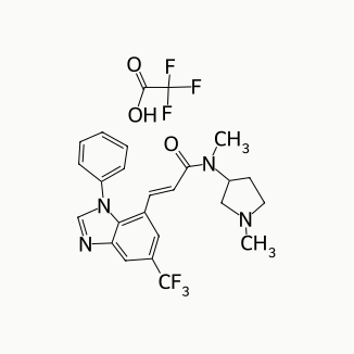 CN1CCC(N(C)C(=O)C=Cc2cc(C(F)(F)F)cc3ncn(-c4ccccc4)c23)C1.O=C(O)C(F)(F)F